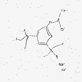 [Na+].[Na+].[O-]B([O-])Oc1cc(C(F)(F)F)cc(C(F)(F)F)c1